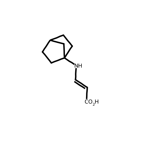 O=C(O)C=CNC12CCC(CC1)C2